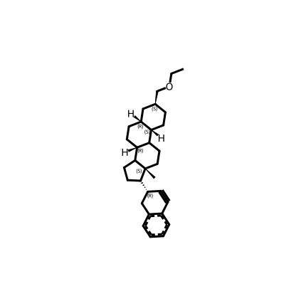 CCOC[C@H]1CC[C@@H]2C3CC[C@@]4(C)C(CCC4[C@@H]4C#Cc5ccccc5C4)[C@@H]3CC[C@@H]2C1